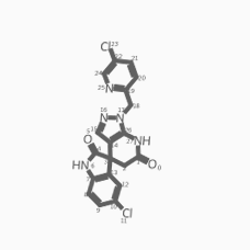 O=C1CC2(C(=O)Nc3ccc(Cl)cc32)c2cnn(Cc3ccc(Cl)cn3)c2N1